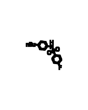 CCCCc1ccc(NS(=O)(=O)c2ccc(F)cc2)cc1